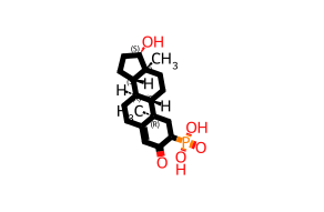 C[C@]12CC[C@H]3[C@@H](CCC4=CC(=O)C(P(=O)(O)O)C[C@@]43C)[C@@H]1CC[C@@H]2O